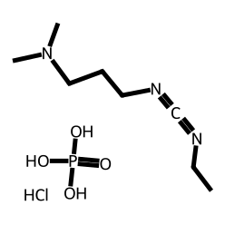 CCN=C=NCCCN(C)C.Cl.O=P(O)(O)O